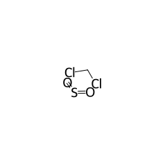 ClCCl.O=S=O